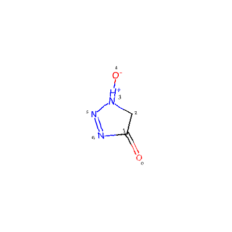 O=C1C[NH+]([O-])N=N1